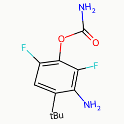 CC(C)(C)c1cc(F)c(OC(N)=O)c(F)c1N